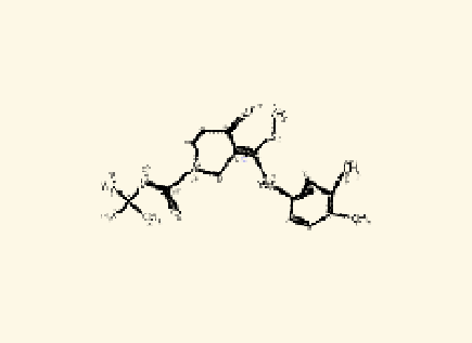 CS/C(Nc1ccc(C)c(C)c1)=C1/CN(C(=O)OC(C)(C)C)CCC1=O